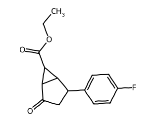 CCOC(=O)C1C2C(=O)CC(c3ccc(F)cc3)C21